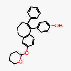 Oc1ccc(C2=C(c3ccccc3)CCCc3cc(OC4CCCCO4)ccc32)cc1